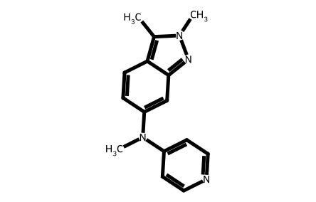 Cc1c2ccc(N(C)c3ccncc3)cc2nn1C